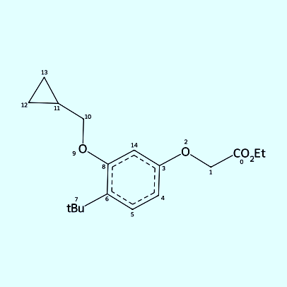 CCOC(=O)COc1ccc(C(C)(C)C)c(OCC2CC2)c1